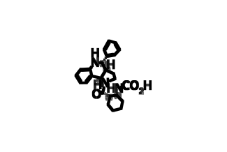 O=C(O)N[C@@H]1CCCC[C@@H]1C(=O)N1CC[C@@H]2[C@@H](c3ccccc3)Nc3ccccc3[C@H]21